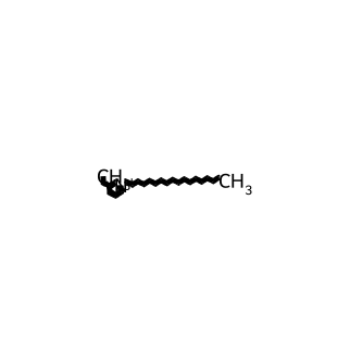 CCCCCCCCCCCCCCCCCC[n+]1cccc(CC)c1